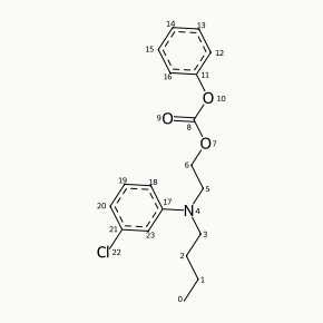 CCCCN(CCOC(=O)Oc1ccccc1)c1cccc(Cl)c1